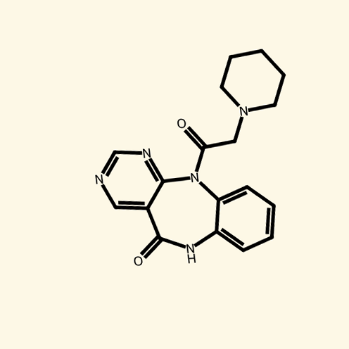 O=C1Nc2ccccc2N(C(=O)CN2CCCCC2)c2ncncc21